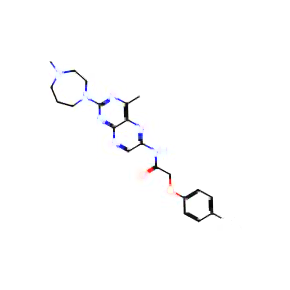 Cc1nc(N2CCCN(C)CC2)nc2ncc(NC(=O)COc3ccc(C(F)(F)F)cc3)nc12